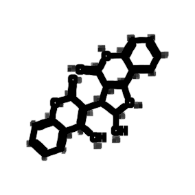 O=c1oc2ccccc2c(O)c1C1c2c(c3ccccc3oc2=O)OC1O